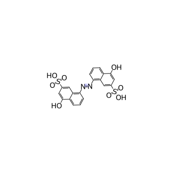 O=S(=O)(O)c1cc(O)c2cccc(/N=N/c3cccc4c(O)cc(S(=O)(=O)O)cc34)c2c1